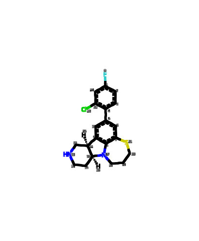 Fc1ccc(-c2cc3c4c(c2)[C@@H]2CNCC[C@@H]2N4CCCS3)c(Cl)c1